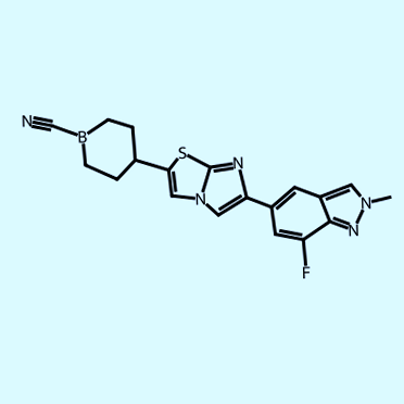 Cn1cc2cc(-c3cn4cc(C5CCB(C#N)CC5)sc4n3)cc(F)c2n1